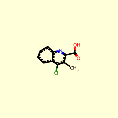 Cc1c(C(=O)O)nc2ccccc2c1Cl